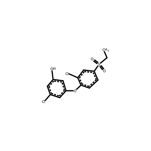 CCS(=O)(=O)c1ccc(Oc2cc(O)cc(Cl)c2)c(Cl)c1